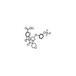 O=C(O)c1ccc(C2(NC(=O)C3(N4CC[C@@H](Oc5cccc(OC(F)(F)F)c5)C4)CCOCC3)CC2)cc1